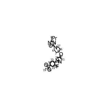 CC(C)c1noc(N2CCC(Oc3cnn(-c4ccc(S(C)(=O)=O)cc4F)c3)CC2)n1